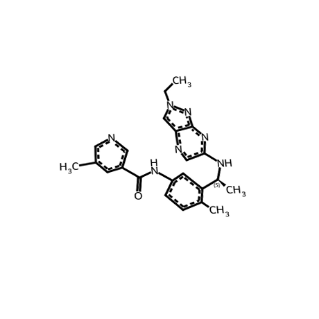 CCn1cc2ncc(N[C@@H](C)c3cc(NC(=O)c4cncc(C)c4)ccc3C)nc2n1